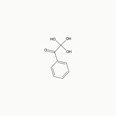 O=C(c1ccccc1)C(O)(O)O